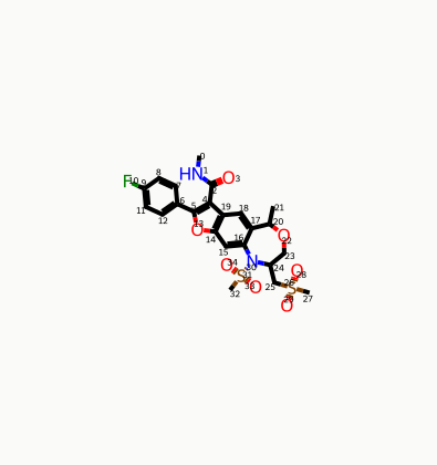 CNC(=O)c1c(-c2ccc(F)cc2)oc2cc3c(cc12)C(C)OCC(CS(C)(=O)=O)N3S(C)(=O)=O